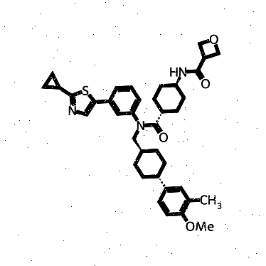 COc1ccc([C@H]2CC[C@H](CN(c3cccc(-c4cnc(C5CC5)s4)c3)C(=O)[C@H]3CC[C@H](NC(=O)C4COC4)CC3)CC2)cc1C